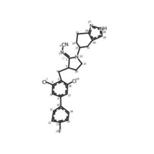 N#C/N=C1/C(Cc2c(Cl)cc(-c3ccc(F)cc3)cc2Cl)CCN1C1CCc2n[nH]cc2C1